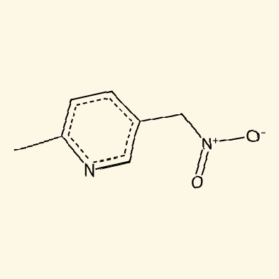 Cc1ccc(C[N+](=O)[O-])cn1